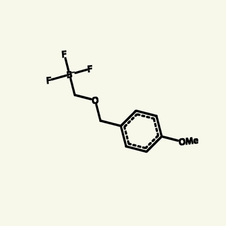 COc1ccc(COC[B-](F)(F)F)cc1